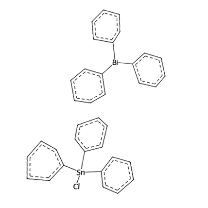 [Cl][Sn]([c]1ccccc1)([c]1ccccc1)[c]1ccccc1.c1cc[c]([Bi]([c]2ccccc2)[c]2ccccc2)cc1